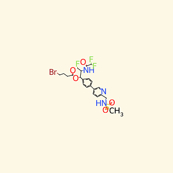 CS(=O)(=O)NCc1ccc(-c2ccc(C(OC(=O)CCCBr)C(CF)NC(=O)C(F)F)cc2)cn1